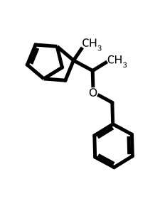 CC(OCc1ccccc1)C1(C)CC2C=CC1C2